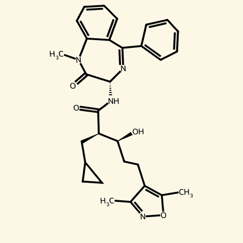 Cc1noc(C)c1CC[C@H](O)[C@@H](CC1CC1)C(=O)N[C@H]1N=C(c2ccccc2)c2ccccc2N(C)C1=O